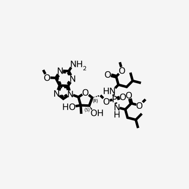 COC(=O)C(CC(C)C)NP(=O)(NC(CC(C)C)C(=O)OC)OC[C@H]1OC(n2cnc3c(OC)nc(N)nc32)C(C)(O)[C@H]1O